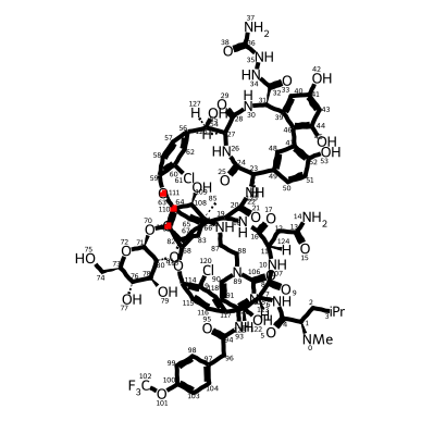 CN[C@H](CC(C)C)C(=O)N[C@H]1C(=O)N[C@@H](CC(N)=O)C(=O)NC2C(=O)N[C@H]3C(=O)N[C@H](C(=O)N[C@@H](C(=O)NNC(N)=O)c4cc(O)cc(O)c4-c4cc3ccc4O)[C@H](O)c3ccc(c(Cl)c3)Oc3cc2cc(c3O[C@@H]2O[C@H](CO)[C@@H](O)[C@H](O)[C@H]2O[C@H]2C[C@](C)(NCCn3ccc(NC(=O)Cc4ccc(OC(F)(F)F)cc4)nc3=O)[C@H](O)[C@H](C)O2)Oc2ccc(cc2Cl)[C@H]1O